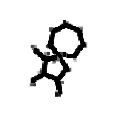 CC1C[N+]2(CCCCCC2)C(C)C1C